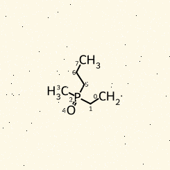 [CH2]CP(C)(=O)CCC